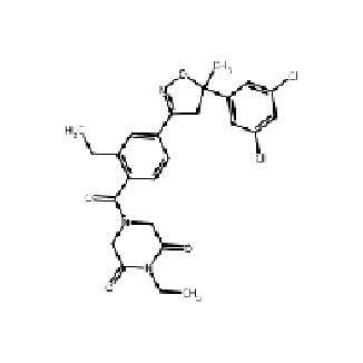 CCc1cc(C2=NOC(C)(c3cc(Cl)cc(Cl)c3)C2)ccc1C(=O)N1CC(=O)N(CC)C(=O)C1